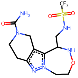 NC(=O)N1CCc2nn3c(c2C1)C(CNS(=O)(=O)C(F)(F)F)NOCC3